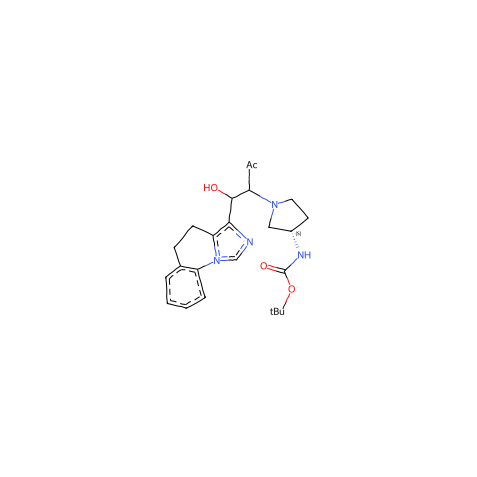 CC(=O)C(C(O)c1ncn2c1CCc1ccccc1-2)N1CC[C@H](NC(=O)OC(C)(C)C)C1